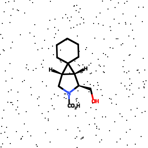 O=C(O)N1C[C@H]2[C@@H]([C@H]1CO)C21CCCCC1